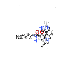 C#CCN(Cc1ccc2nc(C)[nH]c(=O)c2c1)c1ccc(C(=O)NCCCCCC#N)cc1